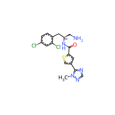 Cn1ncnc1-c1csc(C(=O)N[C@H](CN)Cc2ccc(Cl)cc2Cl)c1